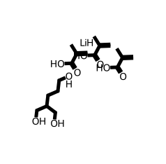 C=C(C)C(=O)O.C=C(C)C(=O)O.C=C(C)C(=O)O.OCCCC(CO)CO.[LiH]